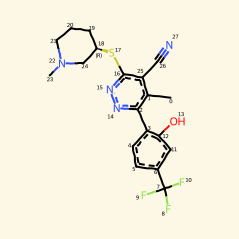 Cc1c(-c2ccc(C(F)(F)F)cc2O)nnc(S[C@@H]2CCCN(C)C2)c1C#N